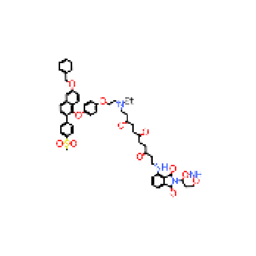 CCN(CCOc1ccc(Oc2c(-c3ccc(S(C)(=O)=O)cc3)ccc3cc(OCc4ccccc4)ccc23)cc1)CCC(=O)CCC(=O)CCC(=O)CCNc1cccc2c1C(=O)N(C1CCONO1)C2=O